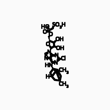 C[C@]12C[C@@H]3C[C@](C)(C1)C[C@@](Nc1nc(Cl)nc4c1ncn4[C@@H]1O[C@H](COP(=O)(O)CS(=O)(=O)O)C(O)C1O)(C3)C2